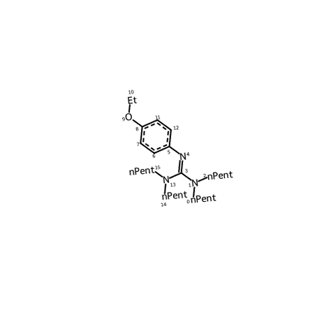 CCCCCN(CCCCC)C(=Nc1ccc(OCC)cc1)N(CCCCC)CCCCC